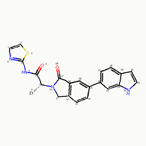 CC[C@H](C(=O)Nc1nccs1)N1Cc2ccc(-c3ccc4cc[nH]c4c3)cc2C1=O